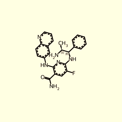 C[C@H](N)[C@H](Nc1nc(Nc2ccc3ncccc3c2)c(C(N)=O)cc1F)c1ccccc1